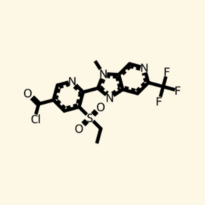 CCS(=O)(=O)c1cc(C(=O)Cl)cnc1-c1nc2cc(C(F)(F)F)ncc2n1C